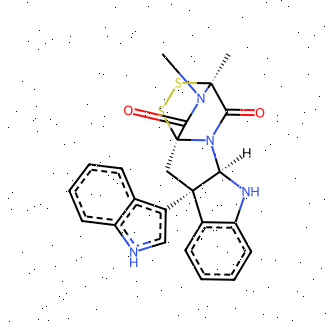 CN1C(=O)[C@@]23C[C@]4(c5c[nH]c6ccccc56)c5ccccc5N[C@@H]4N2C(=O)[C@]1(C)SS3